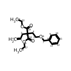 C=CCC(CCOCc1ccccc1)(C(=O)OCC)C(=O)OCC